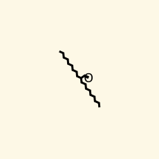 CCCCCCCCCC(C=O)CCCCCCCCC